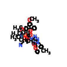 COc1ccc(C(OC[C@H]2O[C@@H](n3cnc4c(N(Cc5ccc(C)cc5)C(=O)COc5ccccc5)ncnc43)[C@@H](OC)C2OP(OCCC#N)N(C(C)C)C(C)C)(c2ccccc2)c2ccc(OC)cc2)cc1